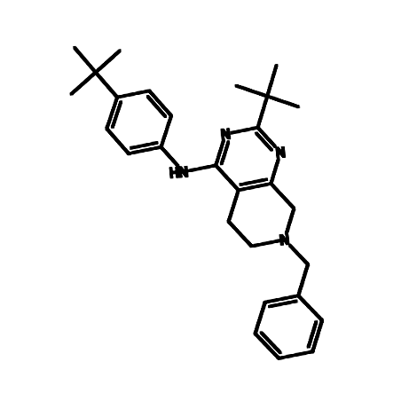 CC(C)(C)c1ccc(Nc2nc(C(C)(C)C)nc3c2CCN(Cc2ccccc2)C3)cc1